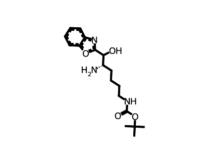 CC(C)(C)OC(=O)NCCCC[C@H](N)C(O)c1nc2ccccc2o1